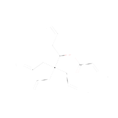 C=CCC(OC(=O)C=C)C(CC=C)(CC=C)CC=C